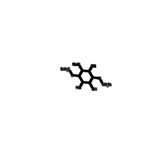 CCOC(=O)OC1C(O)C(O)C(OC(=O)OCC)C(OC)C1O